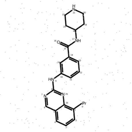 CC(C)c1cccc2cnc(Nc3cccc(C(=O)NC4CCNCC4)c3)nc12